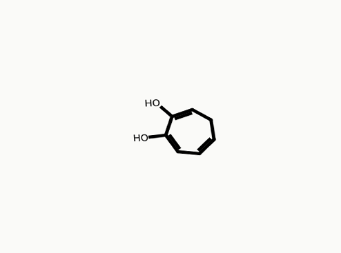 OC1=CC=CCC=C1O